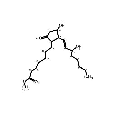 CCCCC[C@H](O)/C=C/[C@@H]1[C@H](O)CC(=O)[C@@H]1CCCCCCC(=O)OC